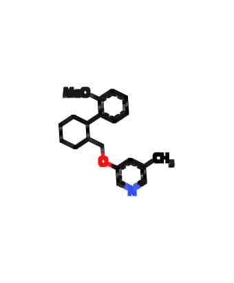 COc1ccccc1C1CCCCC1COc1cncc(C)c1